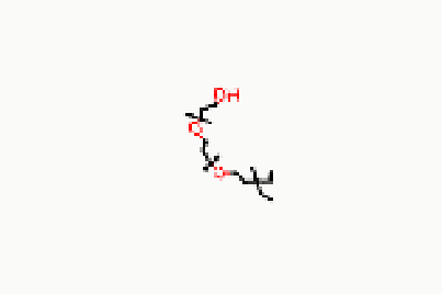 CCC(C)(CC)CCOC(C)(C)CCOC(C)(C)CCO